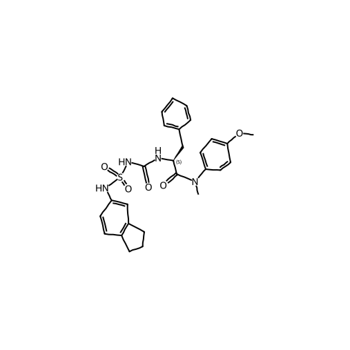 COc1ccc(N(C)C(=O)[C@H](Cc2ccccc2)NC(=O)NS(=O)(=O)Nc2ccc3c(c2)CCC3)cc1